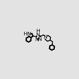 c1ccc(CC2CCN(Cc3nnc(-c4c[nH]c5ccccc45)[nH]3)CC2)cc1